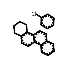 Clc1ccccc1.c1ccc2c(c1)ccc1c3c(ccc12)CCCC3